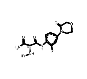 CC(C)N[C@@H](C(N)=O)C(=O)Nc1ccc(N2CCOCC2=O)cc1F